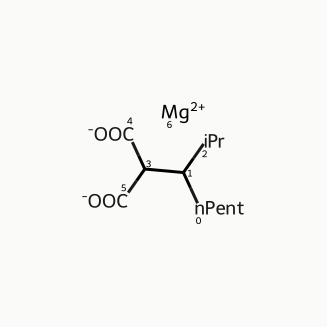 CCCCCC(C(C)C)C(C(=O)[O-])C(=O)[O-].[Mg+2]